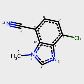 Cn1cnc2c(Cl)ccc(C#N)c21